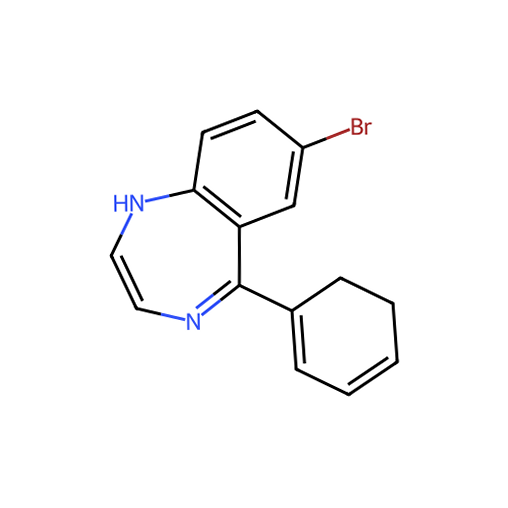 Brc1ccc2c(c1)C(C1=CC=CCC1)=NC=CN2